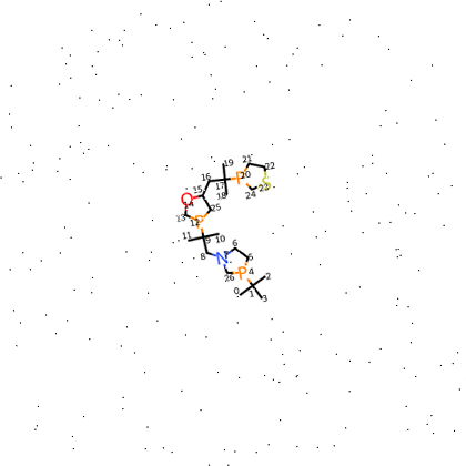 CC(C)(C)P1CCN(CC(C)(C)P2COC(CC(C)(C)P3CCSC3)C2)C1